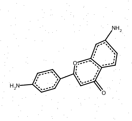 Nc1ccc(-c2cc(=O)c3ccc(N)cc3o2)cc1